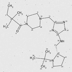 CCC(C)(C)C(=O)N1CCN(Cc2nsc(NC[C@@H]3CCCN3C(C)(C)C)n2)CC1